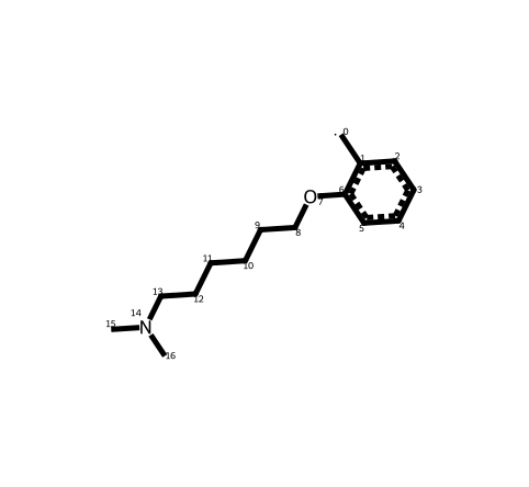 [CH2]c1ccccc1OCCCCCCN(C)C